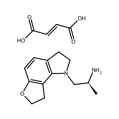 C[C@H](N)CN1CCc2ccc3c(c21)CCO3.O=C(O)C=CC(=O)O